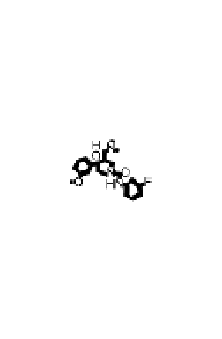 COc1cccc(C2(O)CCN(C(=O)Nc3cccc(F)c3)CC2CN(C)C)c1